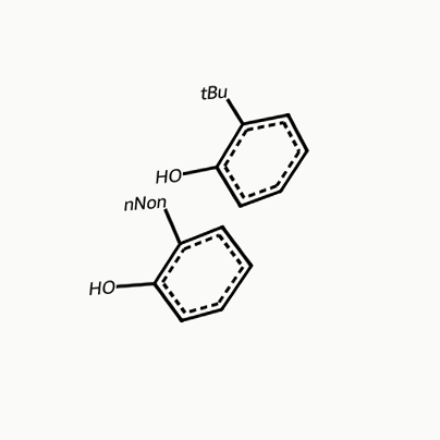 CC(C)(C)c1ccccc1O.CCCCCCCCCc1ccccc1O